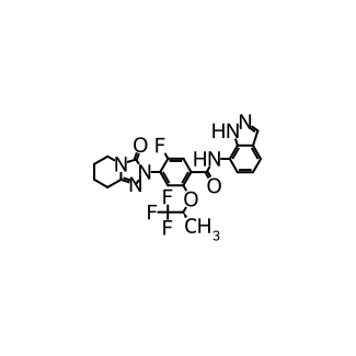 C[C@H](Oc1cc(-n2nc3n(c2=O)CCCC3)c(F)cc1C(=O)Nc1cccc2cn[nH]c12)C(F)(F)F